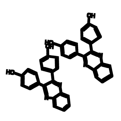 Oc1ccc(-c2nc3ccccc3nc2-c2ccc(O)cc2)cc1.Oc1ccc(-c2nc3ccccc3nc2-c2ccc(O)cc2)cc1